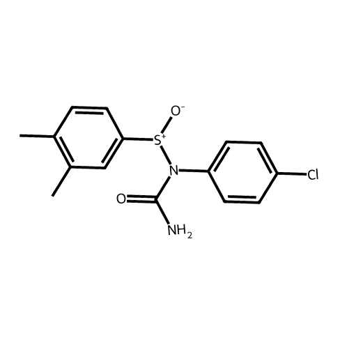 Cc1ccc([S+]([O-])N(C(N)=O)c2ccc(Cl)cc2)cc1C